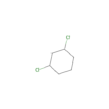 ClC1[CH]C(Cl)CCC1